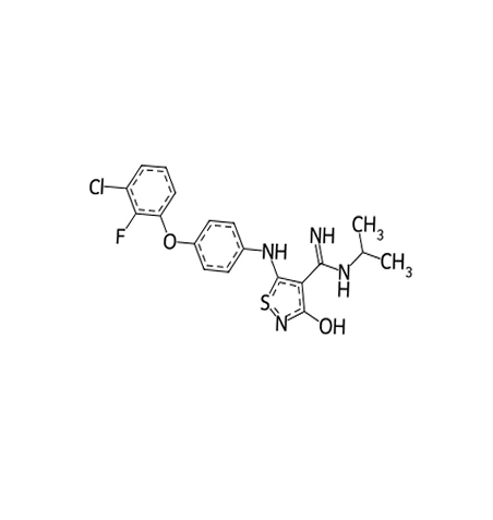 CC(C)NC(=N)c1c(O)nsc1Nc1ccc(Oc2cccc(Cl)c2F)cc1